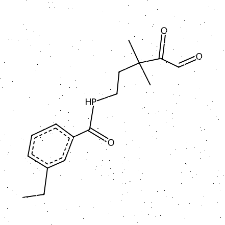 CCc1cccc(C(=O)PCCC(C)(C)C(=O)C=O)c1